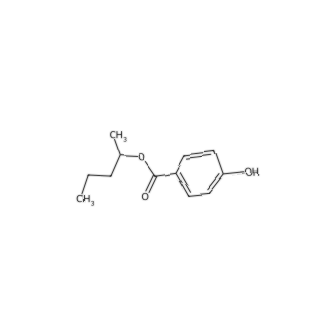 CCCC(C)OC(=O)c1ccc(O)cc1